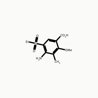 CCS(=O)(=O)c1cc(C(=O)O)c(OC)c(C)c1N